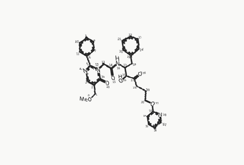 COCc1cnc(-c2ccccc2)n(CC(=O)NC(Cc2ccccc2)C(O)C(=O)CCCOc2ccccn2)c1=O